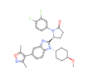 CO[C@H]1CC[C@H](n2c([C@@H]3CCC(=O)N3c3ccc(F)c(F)c3)nc3cc(-c4c(C)noc4C)ccc32)CC1